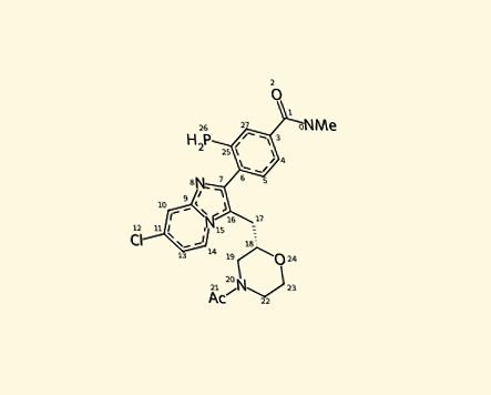 CNC(=O)c1ccc(-c2nc3cc(Cl)ccn3c2C[C@H]2CN(C(C)=O)CCO2)c(P)c1